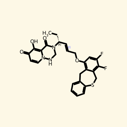 CC[C@H](/C=C/COc1cc(F)c(F)c2c1Cc1ccccc1SC2)N1CNn2ccc(=O)c(O)c2C1=O